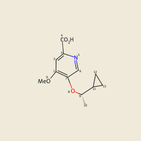 COc1cc(C(=O)O)ncc1O[C@@H](C)C1CC1